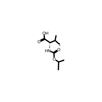 CC(C)OC(=O)N[C@H](C(=O)O)C(C)I